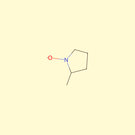 CC1CCCN1[O]